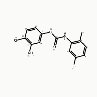 Cc1ccc(Cl)cc1NC(=O)Oc1ccc(Cl)c(N)c1